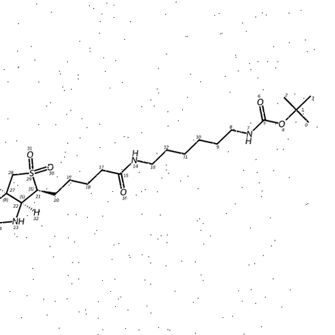 CC(C)(C)OC(=O)NCCCCCCNC(=O)CCCC[C@H]1[C@H]2NC(=O)N[C@H]2CS1(=O)=O